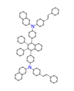 C(=C\c1ccc(N(c2ccc(-c3c(-c4ccccc4)c(-c4ccccc4)c(-c4ccc(N(c5ccc(/C=C/c6ccccc6)cc5)c5ccc6ccccc6c5)cc4)c4ccccc34)cc2)c2ccc3ccccc3c2)cc1)/c1ccccc1